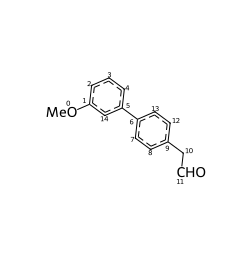 COc1cccc(-c2ccc(CC=O)cc2)c1